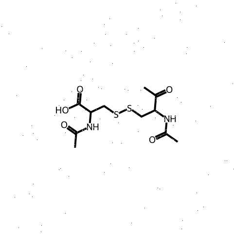 CC(=O)NC(CSSCC(NC(C)=O)C(=O)O)C(C)=O